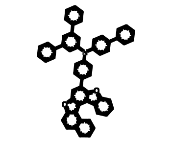 c1ccc(-c2ccc(N(c3ccc(-c4cc5oc6ccc7ccccc7c6c5c5c4oc4ccccc45)cc3)c3cc(-c4ccccc4)cc(-c4ccccc4)c3)cc2)cc1